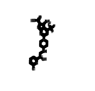 Nc1c(C(=O)O)sc2nc(N3CCC(NC[C@@H](O)c4cccc(Cl)n4)CC3)cc(C(F)(F)F)c12